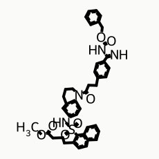 COC(=O)CCCc1ccc2ccccc2c1S(=O)(=O)Nc1ccc2c(c1)CCCN2C(=O)CCc1ccc(C(=N)NC(=O)OCc2ccccc2)cc1